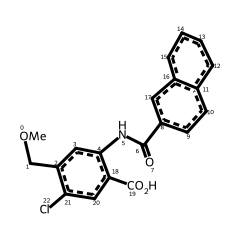 COCc1cc(NC(=O)c2ccc3ccccc3c2)c(C(=O)O)cc1Cl